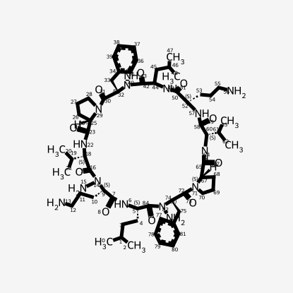 CC(C)CC[C@@H]1NC(=O)[C@H](CCCN)N(N)C(=O)[C@H](C(C)C)NC(=O)[C@@H]2CCCN2C(=O)[C@@H](Cc2ccccc2)N(N)C(=O)C(CC(C)C)NC(=O)[C@H](CCCN)NC(=O)[C@H](C(C)C)NC(=O)[C@@H]2CCCN2C(=O)[C@@H](Cc2ccccc2)N(N)C1=O